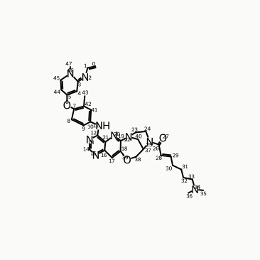 C=C/N=c1/cc(Oc2ccc(Nc3ncnc4cc5c(nc34)N3CCN(C(=O)/C=C/CCCCN(C)C)C(CO5)C3)cc2C)ccn1C